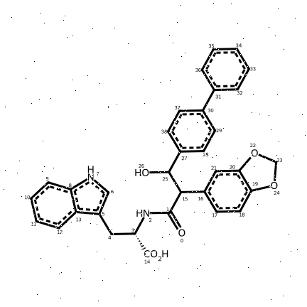 O=C(N[C@@H](Cc1c[nH]c2ccccc12)C(=O)O)C(c1ccc2c(c1)OCO2)C(O)c1ccc(-c2ccccc2)cc1